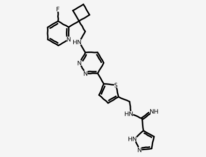 N=C(NCc1ccc(-c2ccc(NCC3(c4ncccc4F)CCC3)nn2)s1)c1ccn[nH]1